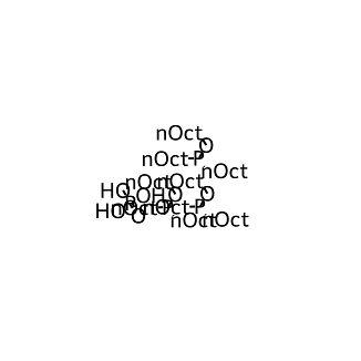 CCCCCCCCOP(CCCCCCCC)CCCCCCCC.CCCCCCCCOP(CCCCCCCC)CCCCCCCC.CCCCCCCCOP(CCCCCCCC)CCCCCCCC.O=P(O)(O)O